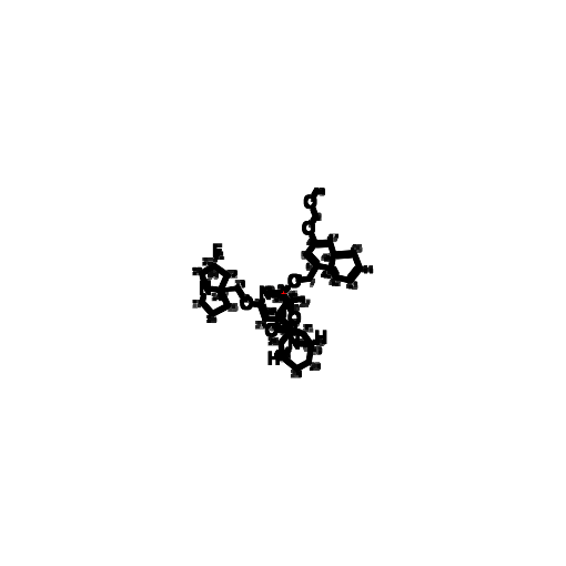 COCOc1cc(COc2nc(OC[C@@]34CCCN3C[C@H](F)C4)cc(N3C[C@H]4CC[C@@H](C3)N4C(=O)OC(C)(C)C)n2)c2ccccc2c1